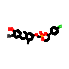 Cc1cc(OC[P@]2(=O)OCC[C@@H](c3ccc(Cl)cc3)O2)cc(C)c1Cc1ccc(O)c(C(C)C)c1